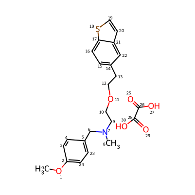 COc1ccc(CN(C)CCOCCc2ccc3sccc3c2)cc1.O=C(O)C(=O)O